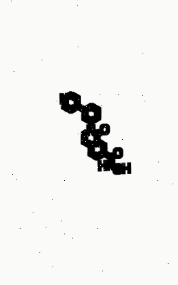 O=C(NO)c1ccc2ccn(-c3cccc(-c4ccncc4)c3)c(=O)c2c1